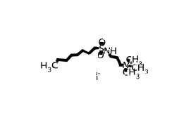 CCCCCCCCS(=O)(=O)NCCC[N+](C)(C)C.[I-]